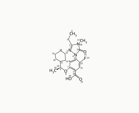 CCc1nn(-c2cc(O[C@@H](C)C3CCCCC3)c(C(=O)O)cc2F)c(=O)n1C